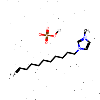 C=CCCCCCCCCCn1cc[n+](C)c1.CCOS(=O)(=O)[O-]